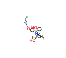 C[C@@H]1Cc2cccc(O)c2[C@@H](c2ccc(OCCN3CC(CF)C3)cc2)N1CC(F)(F)CO